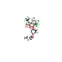 COc1ccc(C2C(C3(C(=O)O)C=CC=C(F)C3F)C2(Cl)Cl)cc1